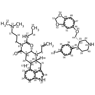 C=CCN1C[C@H](C(=O)N(CCCN(C)C)C(=O)NCC)C[C@@H]2c3cccc4[nH]cc(c34)C[C@H]21.Fc1ccc([C@@H]2CCNC[C@H]2COc2ccc3c(c2)OCO3)cc1